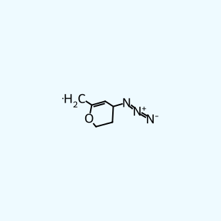 [CH2]C1=CC(N=[N+]=[N-])CCO1